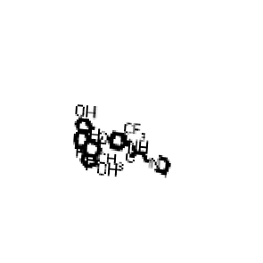 C[C@]12C[C@H](Oc3ccc(NC(=O)CCN4CCCCC4)c(C(F)(F)F)c3)[C@@H]3c4ccc(O)cc4CC[C@H]3[C@@H]1CC[C@@H]2O